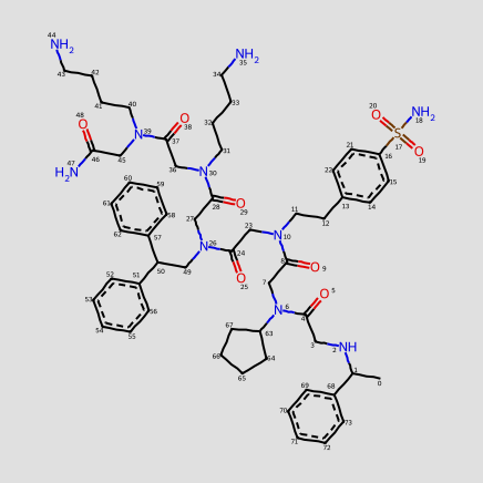 CC(NCC(=O)N(CC(=O)N(CCc1ccc(S(N)(=O)=O)cc1)CC(=O)N(CC(=O)N(CCCCN)CC(=O)N(CCCCN)CC(N)=O)CC(c1ccccc1)c1ccccc1)C1CCCC1)c1ccccc1